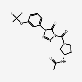 CC(=O)N[C@H]1CCN(C(=O)n2nnn(-c3cccc(OC(F)(F)F)c3)c2=O)C1